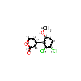 COc1ccc(Cl)c(Cl)c1-c1ccoc(=O)c1